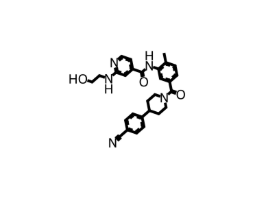 Cc1ccc(C(=O)N2CCC(c3ccc(C#N)cc3)CC2)cc1NC(=O)c1ccnc(NCCO)c1